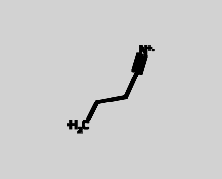 [CH2]CCC#[N+]